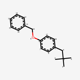 CC(C)(C)Cc1ccc(OCc2ccccc2)cc1